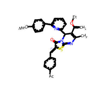 C=C(OCC)C1=C(C)N=c2s/c(=C\c3ccc(C(C)=O)cc3)c(=O)n2C1c1cccc(-c2ccc(OC)cc2)n1